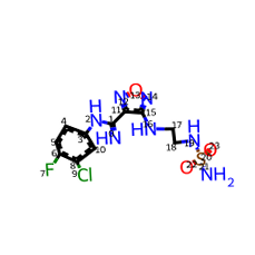 N=C(Nc1ccc(F)c(Cl)c1)c1nonc1NCCNS(N)(=O)=O